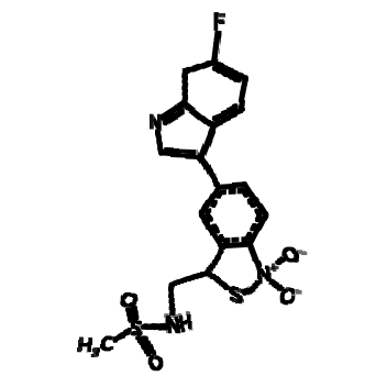 CS(=O)(=O)NCC1S[N+]([O-])([O-])c2ccc(C3=CN=C4CC(F)=CC=C34)cc21